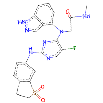 CNC(=O)CN(c1nc(Nc2ccc3c(c2)S(=O)(=O)CC3)ncc1F)c1cccc2[nH]ncc12